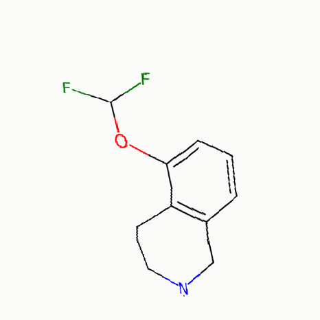 FC(F)Oc1cccc2c1CC[N]C2